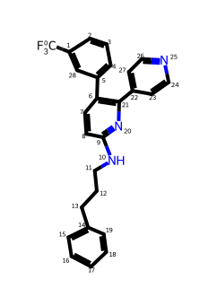 FC(F)(F)c1cccc(-c2ccc(NCCCc3ccccc3)nc2-c2ccncc2)c1